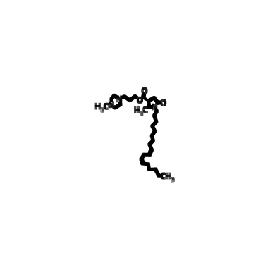 CCCCC/C=C\C/C=C\CCCCCCCCN1C(=O)C[C@H](C(=O)OCCCN2CCN(C)CC2)[C@H]1C